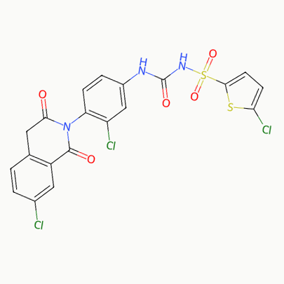 O=C(Nc1ccc(N2C(=O)Cc3ccc(Cl)cc3C2=O)c(Cl)c1)NS(=O)(=O)c1ccc(Cl)s1